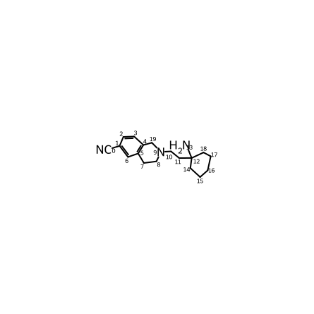 N#Cc1ccc2c(c1)CCN(CCC1(N)CCCCC1)C2